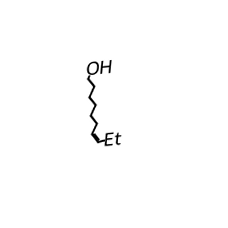 CC/C=C\CCCCCCO